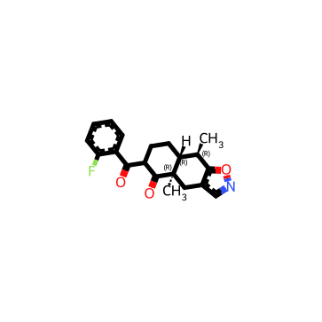 C[C@H]1c2oncc2C[C@@]2(C)C(=O)C(C(=O)c3ccccc3F)CC[C@H]12